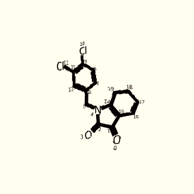 O=C1C(=O)N(Cc2ccc(Cl)c(Cl)c2)C2=C1C=CCC2